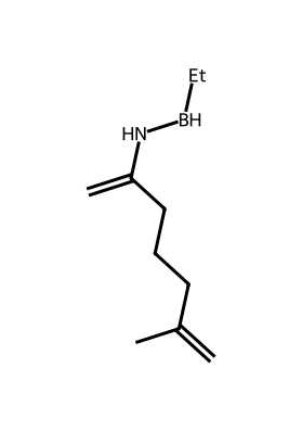 C=C(C)CCCC(=C)NBCC